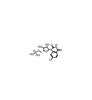 O=c1[nH]c(=O)n([C@@H]2O[C@H](COP(=O)(O)O)[C@@H](O)[C@H]2O)c2cc(Cl)ccc12